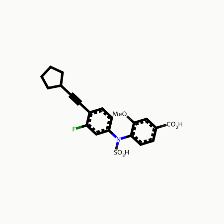 COc1cc(C(=O)O)ccc1N(c1ccc(C#CC2CCCC2)c(F)c1)S(=O)(=O)O